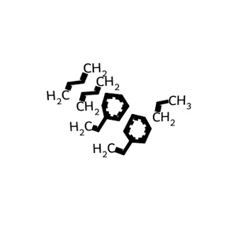 C=CC.C=CC=C.C=CC=C.C=Cc1ccccc1.C=Cc1ccccc1